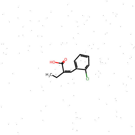 CCC(=Cc1ccccc1Cl)C(=O)O